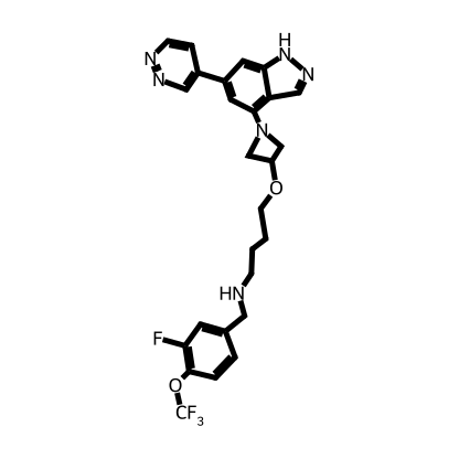 Fc1cc(CNCCCCOC2CN(c3cc(-c4ccnnc4)cc4[nH]ncc34)C2)ccc1OC(F)(F)F